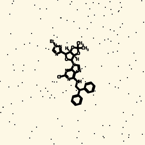 CCn1cnc(C2OC(n3cnc4c(NCC(c5ccccc5)c5ccccc5)nc(Cl)nc43)[C@@H]3OC(C)(C)O[C@H]23)n1